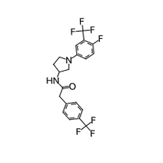 O=C(Cc1ccc(C(F)(F)F)cc1)NC1CCN(c2ccc(F)c(C(F)(F)F)c2)C1